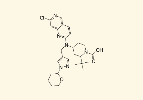 CC(C)(C)C1CC(N(Cc2cnn(C3CCCCO3)c2)c2ccc3cnc(Cl)cc3n2)CCN1C(=O)O